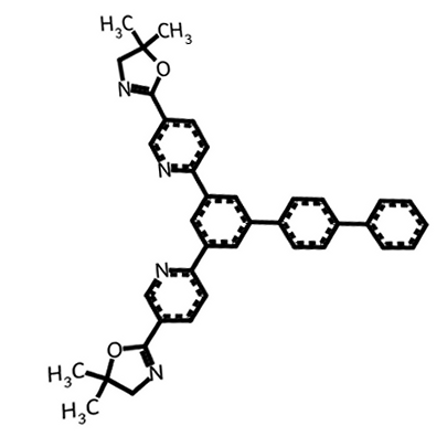 CC1(C)CN=C(c2ccc(-c3cc(-c4ccc(-c5ccccc5)cc4)cc(-c4ccc(C5=NCC(C)(C)O5)cn4)c3)nc2)O1